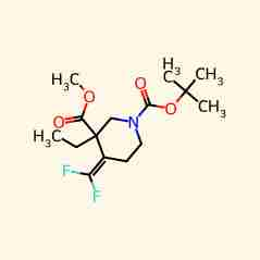 CCC1(C(=O)OC)CN(C(=O)OC(C)(C)C)CCC1=C(F)F